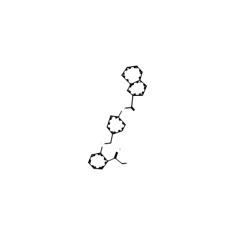 CCOC(=O)CC(=N)c1ccccc1NCc1ccc(NC(=O)c2ccc3ccccc3c2)cc1